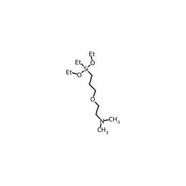 CCO[Si](CC)(CCCOCCN(C)C)OCC